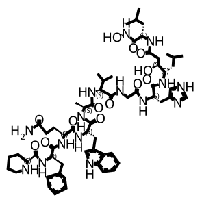 CC(C)C[C@H](NC(=O)C[C@H](O)[C@H](CC(C)C)NC(=O)[C@H](Cc1c[nH]cn1)NC(=O)CNC(=O)[C@@H](NC(=O)[C@H](C)NC(=O)[C@H](Cc1c[nH]c2ccccc12)NC(=O)[C@H](CCC(N)=O)NC(=O)[C@@H](Cc1ccccc1)NC(=O)[C@@H]1CCCCN1)C(C)C)C(=O)NO